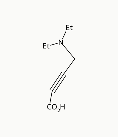 CCN(CC)CC#CC(=O)O